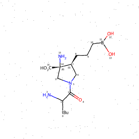 CC(C)(C)C(N)C(=O)N1C[C@H](CCCB(O)O)[C@](N)(C(=O)O)C1